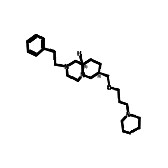 c1ccc(CCN2CCN3C[C@H](COCCCN4CCCCC4)CC[C@H]3C2)cc1